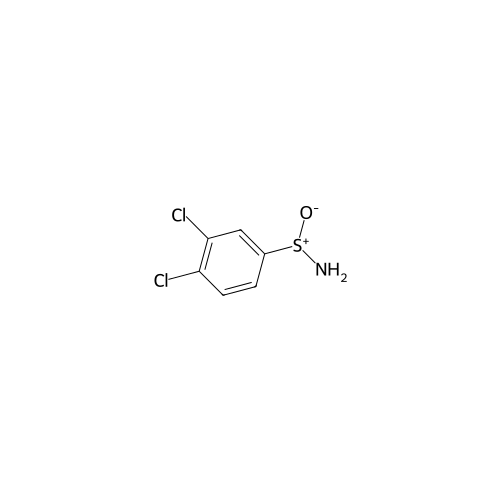 N[S+]([O-])c1ccc(Cl)c(Cl)c1